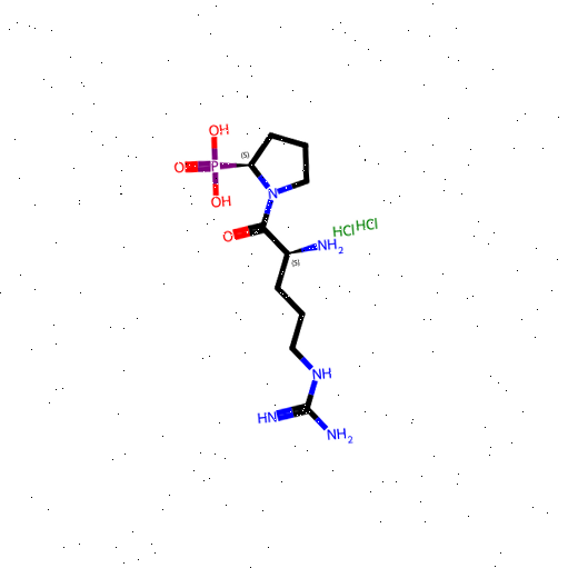 Cl.Cl.N=C(N)NCCC[C@H](N)C(=O)N1CCC[C@@H]1P(=O)(O)O